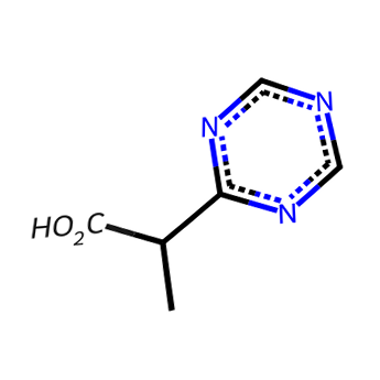 CC(C(=O)O)c1ncncn1